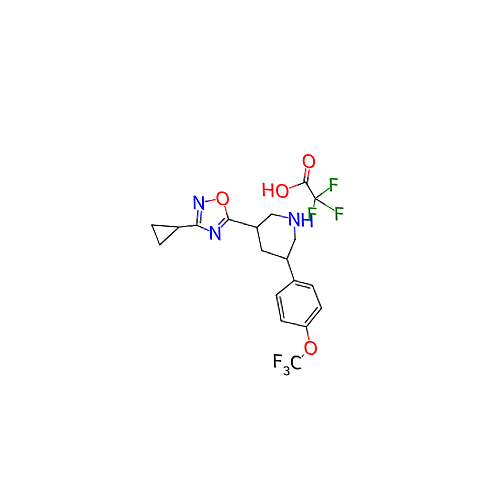 FC(F)(F)Oc1ccc(C2CNCC(c3nc(C4CC4)no3)C2)cc1.O=C(O)C(F)(F)F